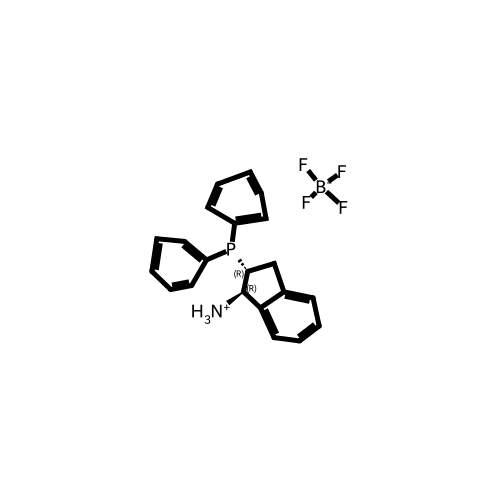 F[B-](F)(F)F.[NH3+][C@@H]1c2ccccc2C[C@H]1P(c1ccccc1)c1ccccc1